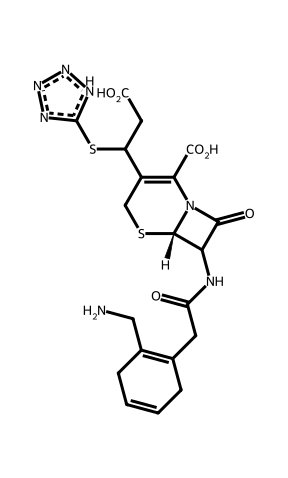 NCC1=C(CC(=O)NC2C(=O)N3C(C(=O)O)=C(C(CC(=O)O)Sc4nnn[nH]4)CS[C@@H]23)CC=CC1